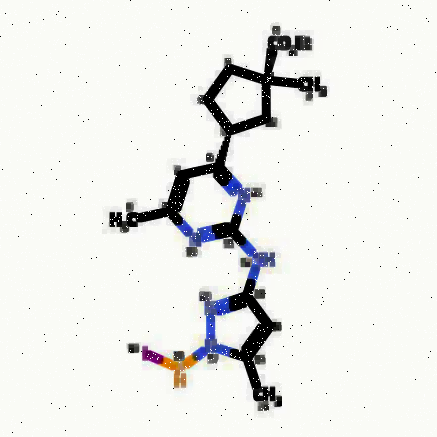 CCOC(=O)[C@]1(C)CC[C@@H](c2cc(C)nc(Nc3cc(C)n(PI)n3)n2)C1